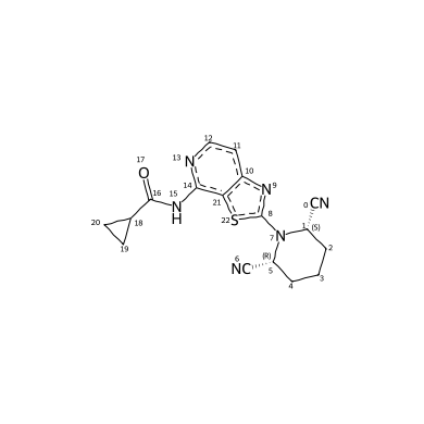 N#C[C@@H]1CCC[C@H](C#N)N1c1nc2ccnc(NC(=O)C3CC3)c2s1